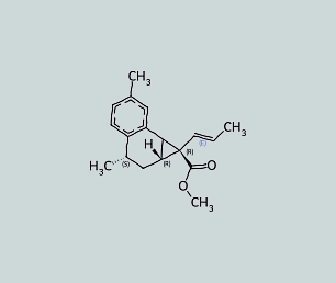 C/C=C/[C@@]1(C(=O)OC)C2c3cc(C)ccc3[C@@H](C)C[C@H]21